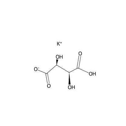 O=C([O-])[C@@H](O)[C@H](O)C(=O)O.[K+]